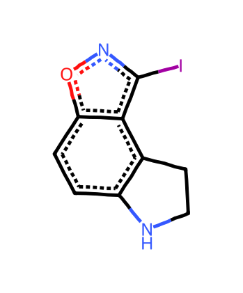 Ic1noc2ccc3c(c12)CCN3